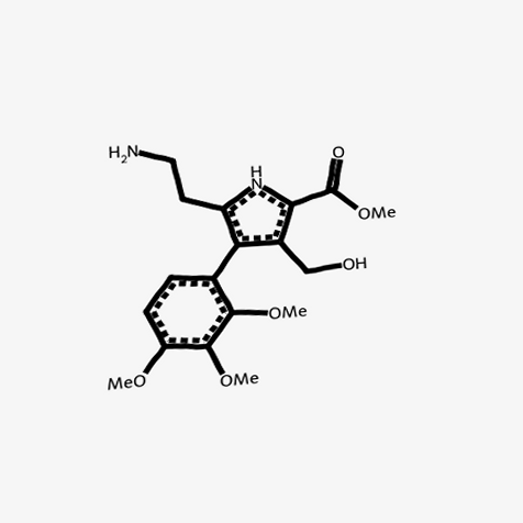 COC(=O)c1[nH]c(CCN)c(-c2ccc(OC)c(OC)c2OC)c1CO